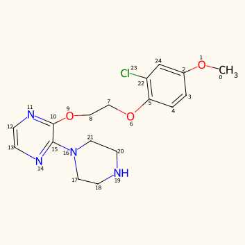 COc1ccc(OCCOc2nccnc2N2CCNCC2)c(Cl)c1